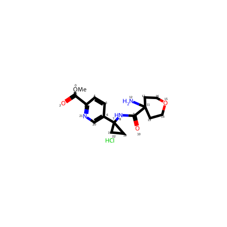 COC(=O)c1ccc(C2(NC(=O)C3(N)CCOCC3)CC2)cn1.Cl